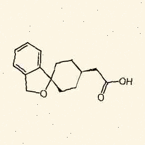 O=C(O)C[C@H]1CC[C@@]2(CC1)OCc1ccccc12